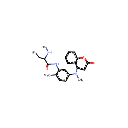 CCCCNC(CC(C)C)C(=O)Nc1cc(N(C)c2cc(=O)oc3ccccc23)ccc1OC